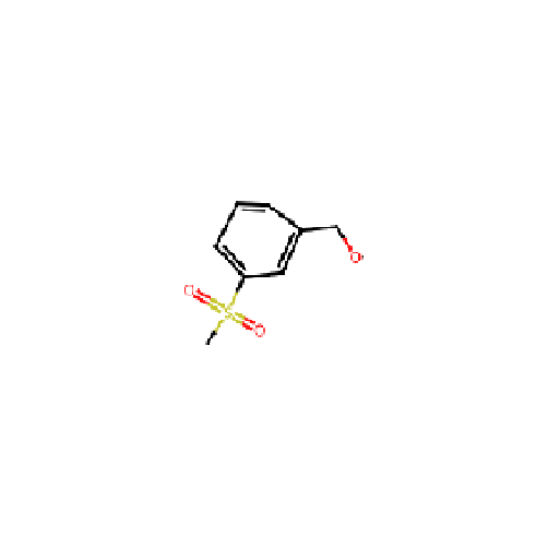 CS(=O)(=O)c1cccc(C[O])c1